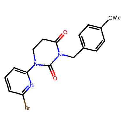 COc1ccc(CN2C(=O)CCN(c3cccc(Br)n3)C2=O)cc1